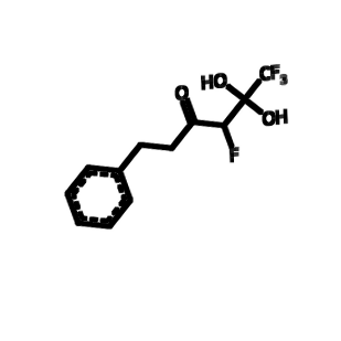 O=C(CCc1ccccc1)C(F)C(O)(O)C(F)(F)F